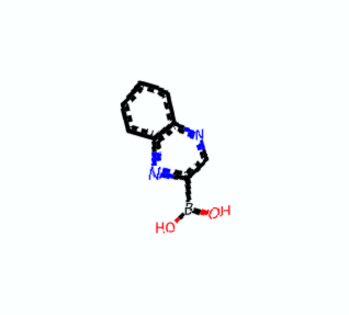 OB(O)c1cnc2ccccc2n1